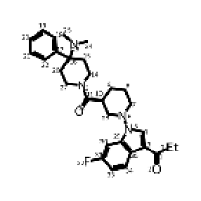 CCC(=O)c1cn(N2CCCC(C(=O)N3CCC(c4ccccc4)(N(C)C)CC3)C2)c2cc(F)ccc12